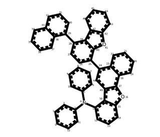 c1ccc(N(c2ccccc2)c2cccc3oc4c5ccccc5c(-c5ccc(-c6cccc7ccccc67)c6c5oc5ccccc56)cc4c23)cc1